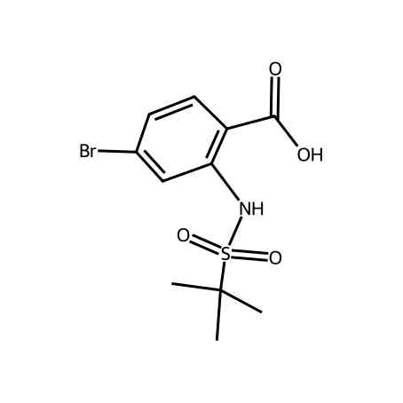 CC(C)(C)S(=O)(=O)Nc1cc(Br)ccc1C(=O)O